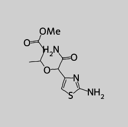 COC(=O)CC(C)OC(C(N)=O)c1csc(N)n1